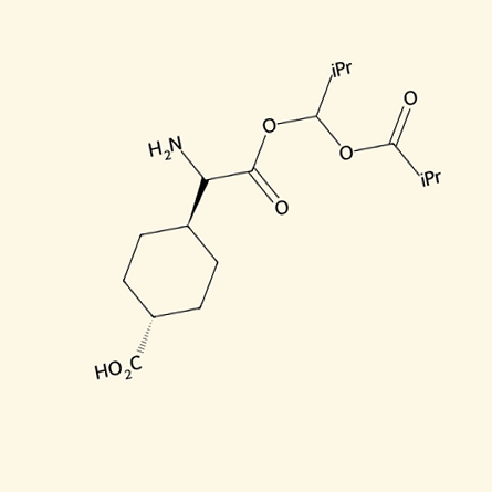 CC(C)C(=O)OC(OC(=O)C(N)[C@H]1CC[C@H](C(=O)O)CC1)C(C)C